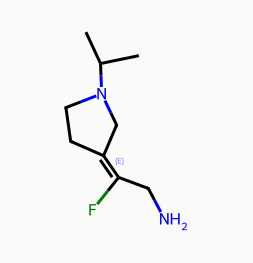 CC(C)N1CC/C(=C(\F)CN)C1